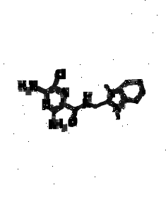 Cn1c(CNC(=O)c2nc(Cl)c(N)nc2N)[n+](C)c2ccccc21